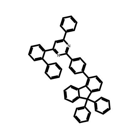 c1ccc(-c2cc(-c3ccccc3-c3ccccc3)nc(-c3ccc(-c4cccc5c4-c4ccccc4C5(c4ccccc4)c4ccccc4)cc3)n2)cc1